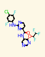 O=C(Nc1cncnc1OC(F)C(F)F)c1ccnc(Nc2cc(F)c(Cl)cc2F)n1